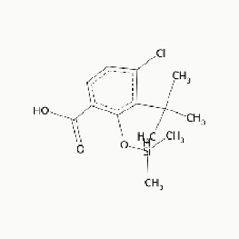 C[SiH](C)Oc1c(C(=O)O)ccc(Cl)c1C(C)(C)C